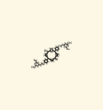 CCCOC(CCOc1ccc(-c2c3nc(c(Br)c4ccc([nH]4)c(-c4ccc(OCCC(CC(=O)O)OCCC)cc4)c4nc(c(Br)c5ccc2[nH]5)C=C4)C=C3)cc1)CC(=O)O